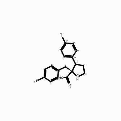 O=C(O)[C@@]1(Cc2ccc(F)cc2)NCCC1c1ccc(F)cc1